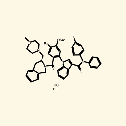 COc1cc(-n2cc(C(=O)N(c3ccccc3)c3ccc(F)cc3)c3ccccc32)c(C(=O)N2Cc3ccccc3C[C@H]2CN2CCN(C)CC2)cc1O.Cl.Cl